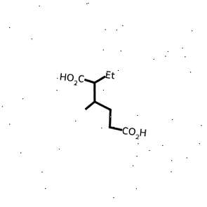 CCC(C(=O)O)C(C)CCC(=O)O